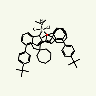 CCC1(CC2=Cc3c(-c4ccc(C(C)(C)C)cc4)cccc3[CH]2[Zr]([Cl])([Cl])([CH]2C(CC3(CC)CCCCCC3)=Cc3c(-c4ccc(C(C)(C)C)cc4)cccc32)[SiH](C)C)CCCCCC1